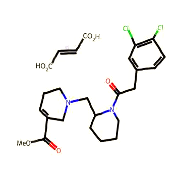 COC(=O)C1=CCCN(CC2CCCCN2C(=O)Cc2ccc(Cl)c(Cl)c2)C1.O=C(O)/C=C/C(=O)O